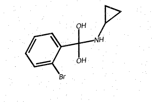 OC(O)(NC1CC1)c1ccccc1Br